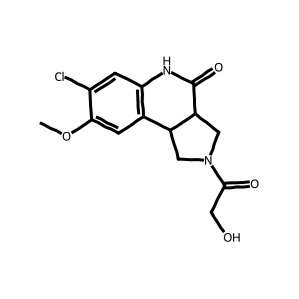 COc1cc2c(cc1Cl)NC(=O)C1CN(C(=O)CO)CC21